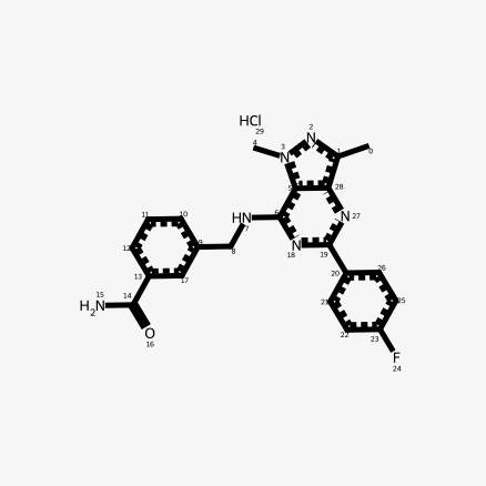 Cc1nn(C)c2c(NCc3cccc(C(N)=O)c3)nc(-c3ccc(F)cc3)nc12.Cl